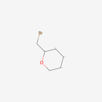 BrC[C]1[CH][CH][CH]CO1